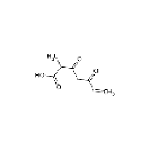 C=CC(=O)CC(=O)C(C)C(=O)O